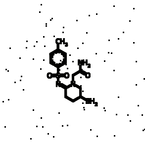 BC1CC/C(=N/S(=O)(=O)c2ccc(C)cc2)N(CC(N)=O)C1